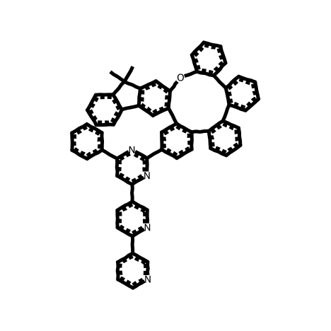 CC1(C)c2ccccc2-c2cc3c(cc21)Oc1ccccc1-c1ccccc1-c1ccccc1-c1ccc(-c2nc(-c4ccccc4)cc(-c4ccc(-c5cccnc5)nc4)n2)cc1-3